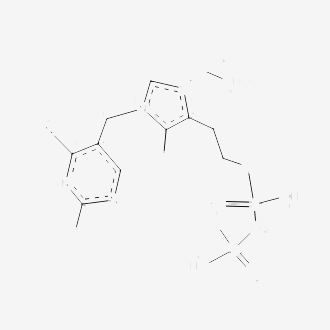 Cc1ncc(C[n+]2csc(CCOP(=O)(O)OP(=O)(O)O)c2C)c(N)n1.O=CO.[Cl-]